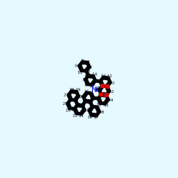 c1ccc(-c2ccc(N(c3ccccc3)c3ccc(-c4cccc5ccc6ccccc6c45)c(-c4ccccc4)c3-c3ccccc3)c(-c3ccccc3)c2)cc1